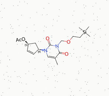 CC(=O)O[C@@H]1C=C[C@H](n2cc(C)c(=O)n(COCC[Si](C)(C)C)c2=O)C1